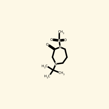 CC(C)(C)N1CCCN(S(C)(=O)=O)C(=O)C1